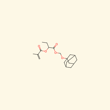 C=C(C)C(=O)OC(CC)C(=O)OCOC12CC3CC(CC(C3)C1)C2